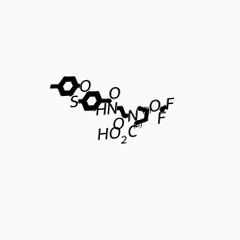 Cc1ccc2c(c1)Sc1ccc(C(=O)NCC(=O)N3C[C@H](OC(F)F)C[C@H]3C(=O)O)cc1O2